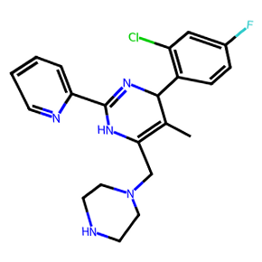 CC1=C(CN2CCNCC2)NC(c2ccccn2)=NC1c1ccc(F)cc1Cl